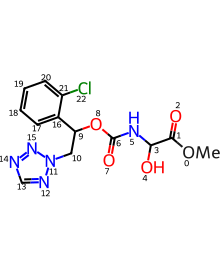 COC(=O)C(O)NC(=O)OC(Cn1ncnn1)c1ccccc1Cl